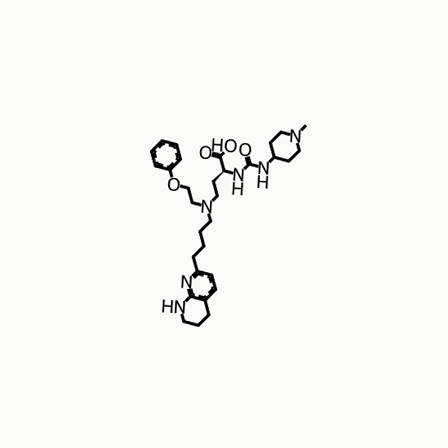 CN1CCC(NC(=O)N[C@@H](CCN(CCCCc2ccc3c(n2)NCCC3)CCOc2ccccc2)C(=O)O)CC1